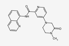 CN1CCN(c2ccnc(C(=O)Nc3cccc4cccnc34)c2)CC1=O